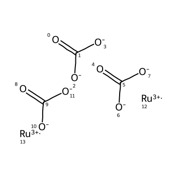 O=C([O-])[O-].O=C([O-])[O-].O=C([O-])[O-].[Ru+3].[Ru+3]